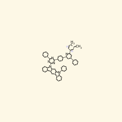 C=C/C=C(\C=C/C)c1cc(-c2ccccc2)cc(-c2ccc(-c3nc(-c4ccccc4)nc(-n4c5ccccc5c5cc6c7ccccc7n(-c7ccccc7)c6cc54)n3)cc2)n1